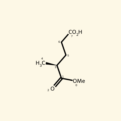 COC(=O)[C@@H](C)CCC(=O)O